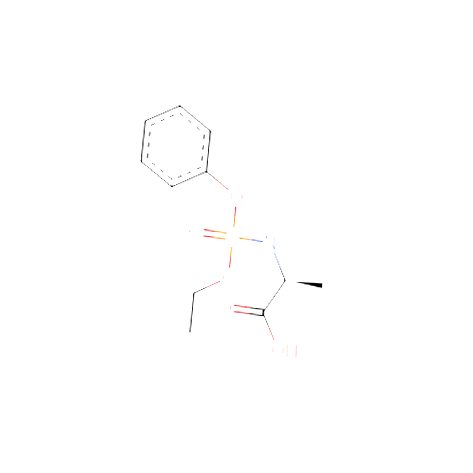 CCOP(=O)(N[C@@H](C)C(=O)O)Oc1ccccc1